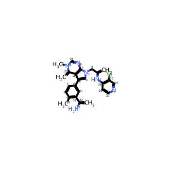 C=C(Cn1cc(-c2ccc(C)c(C(=C)N)c2)c2c1N=CN(C)C2=C)Nc1ccncc1Cl